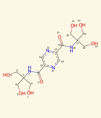 O=C(NC(CO)(CO)CO)c1cnc(C(=O)NC(CO)(CO)CO)cn1